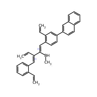 C=CC(=C\c1ccccc1C=C)/C(BC)=C/c1ccc(-c2ccc3ccccc3c2)cc1C=C